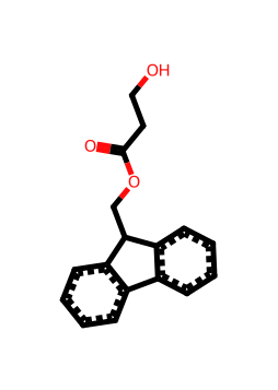 O=C(CCO)OCC1c2ccccc2-c2ccccc21